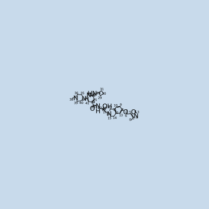 Cc1ncoc1COc1ccc2c(c1)CCN(C[C@@H](O)CNC(=O)c1cc(NC3CCC3)nc(N3CCN(C)CC3)c1)C2